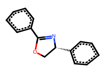 c1ccc(C2=N[C@H](c3ccccc3)CO2)cc1